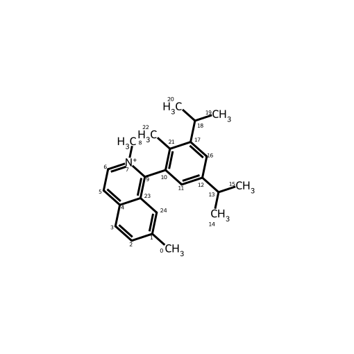 Cc1ccc2cc[n+](C)c(-c3cc(C(C)C)cc(C(C)C)c3C)c2c1